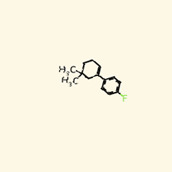 CC1(C)CCC=C(c2ccc(F)cc2)C1